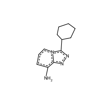 Nc1cccn2c(C3CCCCC3)nnc12